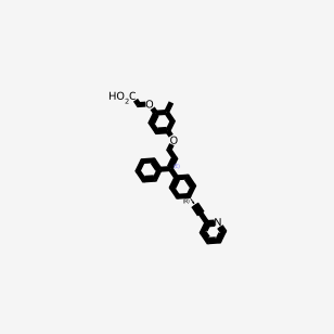 CC1CC(OC/C=C(\C2=CCCC=C2)C2=CC[C@@H](C#Cc3ccccn3)C=C2)=CC=C1OCC(=O)O